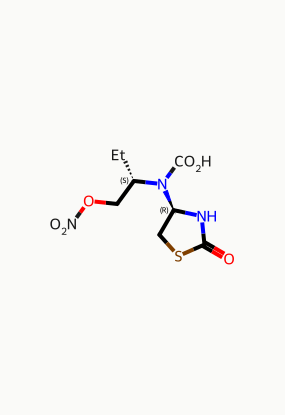 CC[C@@H](CO[N+](=O)[O-])N(C(=O)O)[C@@H]1CSC(=O)N1